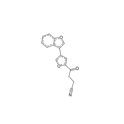 N#CCCC(=O)c1cc(-c2coc3ccccc23)co1